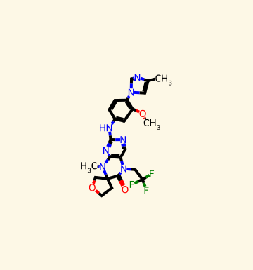 COc1cc(Nc2ncc3c(n2)N(C)C2(CCOC2)C(=O)N3CC(F)(F)F)ccc1-n1cnc(C)c1